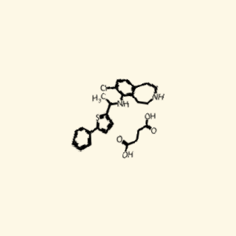 CC(Nc1c(Cl)ccc2c1CCNCC2)c1ccc(-c2ccccc2)s1.O=C(O)CCC(=O)O